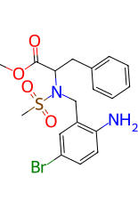 COC(=O)C(Cc1ccccc1)N(Cc1cc(Br)ccc1N)S(C)(=O)=O